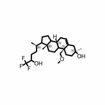 COC[C@]12CC[C@](C)(O)CC1=CC[C@@H]1C2CC[C@@]2(C)C1CCC2[C@H](C)CCC(O)C(F)(F)F